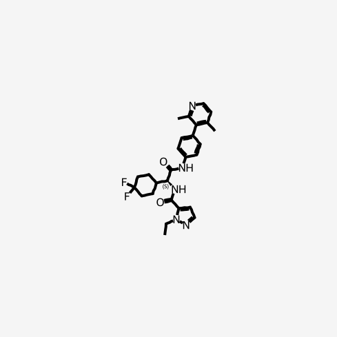 CCn1nccc1C(=O)N[C@H](C(=O)Nc1ccc(-c2c(C)ccnc2C)cc1)C1CCC(F)(F)CC1